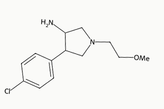 COCCN1CC(N)C(c2ccc(Cl)cc2)C1